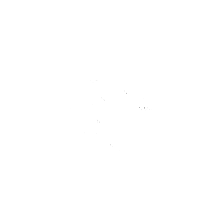 CCCC1CN(C(Cc2ccc3ccccc3c2)C(=O)NC)CCN1C(=O)C(Cc1ccc(F)cc1)NC(=O)C(C)(C)N